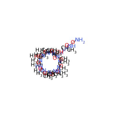 C=CC(/C=C/CC1[C@@H](O)[C@H]2C(=O)N1[C@@H](CC)C(=O)N(C)CC(=O)N(C)C(CC(C)C)C(=O)N[C@@H](C(C)C)C(=O)N(C)[C@@H](CC(C)C)C(=O)NC(C)C(=O)N[C@H](C)C(=O)N(C)C(CC(C)C)[C@H](O)N(C)C(CC(C)C)C(=O)N(C)[C@@H](C(C)C)C(=O)N2C)=C\C=C(/C)C(=O)NCCOCCN